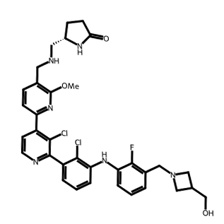 COc1nc(-c2ccnc(-c3cccc(Nc4cccc(CN5CC(CO)C5)c4F)c3Cl)c2Cl)ccc1CNC[C@@H]1CCC(=O)N1